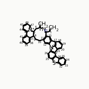 C=C/C1=N/C(=C)CC2C(CCc3cc4c(cc31)c1cccc3c5c6c(ccc5n4c13)sc1ccccc16)c1ccccc1-c1cccc[n+]12